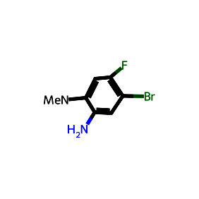 CNc1cc(F)c(Br)cc1N